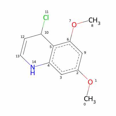 COc1cc2c(c(OC)c1)C(Cl)C=CN2